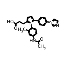 CC(=O)Nc1ccc(-n2c(CCC(=O)O)ccc2-c2ccc(-n3ccnc3)cc2)c(C)c1